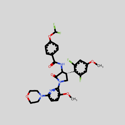 COc1cc(F)c([C@@H]2CN(c3nc(N4CCOCC4)ccc3OC)C(=O)C2NC(=O)c2ccc(OC(F)F)cc2)c(F)c1